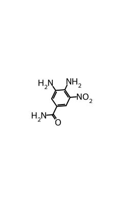 NC(=O)c1cc(N)c(N)c([N+](=O)[O-])c1